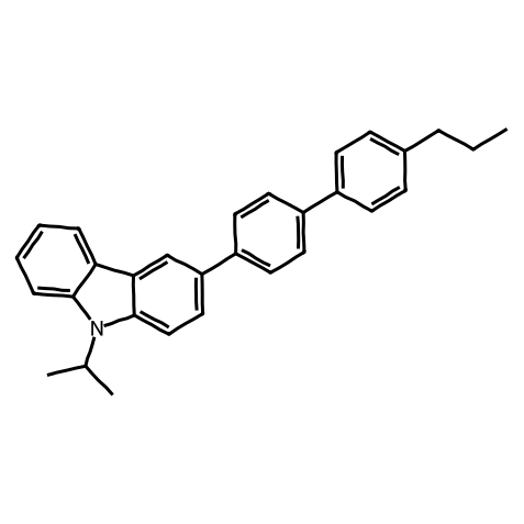 CCCc1ccc(-c2ccc(-c3ccc4c(c3)c3ccccc3n4C(C)C)cc2)cc1